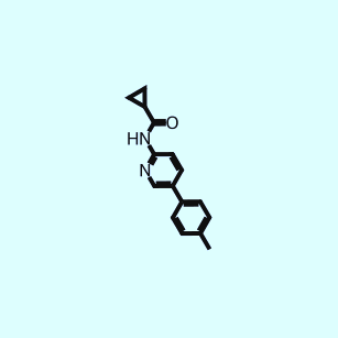 Cc1ccc(-c2ccc(NC(=O)C3CC3)nc2)cc1